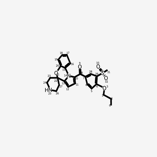 CCCOc1ccc(C(=O)c2ccc3n2-c2ccccc2OC32CCNCC2)cc1S(C)(=O)=O